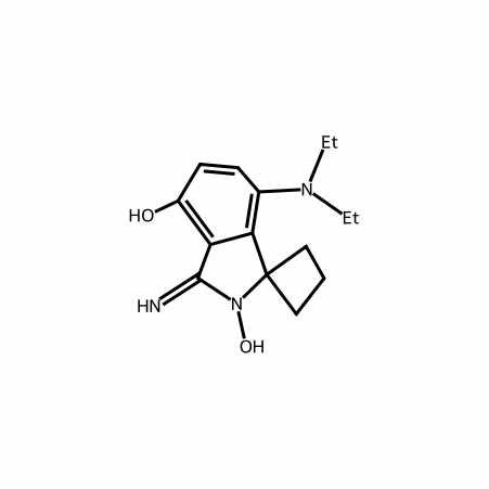 CCN(CC)c1ccc(O)c2c1C1(CCC1)N(O)C2=N